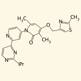 Cc1nc(COc2cc(C)n(-c3ccnc(-c4ccnc(C(C)C)n4)c3)c(=O)c2C)cs1